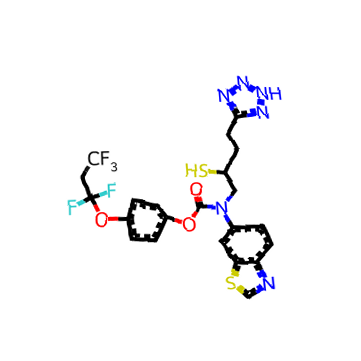 O=C(Oc1ccc(OC(F)(F)CC(F)(F)F)cc1)N(CC(S)CCc1nn[nH]n1)c1ccc2ncsc2c1